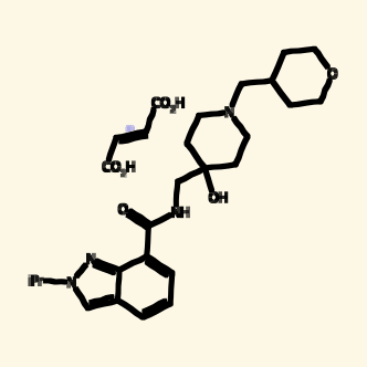 CC(C)n1cc2cccc(C(=O)NCC3(O)CCN(CC4CCOCC4)CC3)c2n1.O=C(O)/C=C/C(=O)O